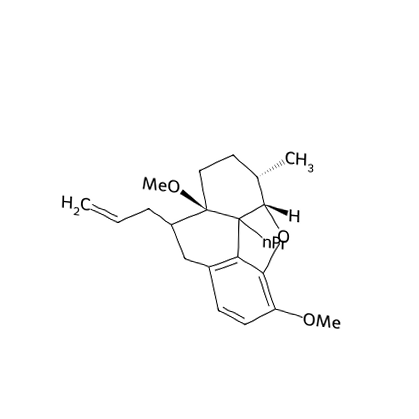 C=CCC1Cc2ccc(OC)c3c2C2(CCC)[C@@H](O3)[C@@H](C)CC[C@@]12OC